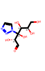 O=C[C@H](O)[C@@](O)([C@@H](O)[C@H](O)CO)n1ccnn1